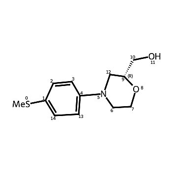 CSc1ccc(N2CCO[C@@H](CO)C2)cc1